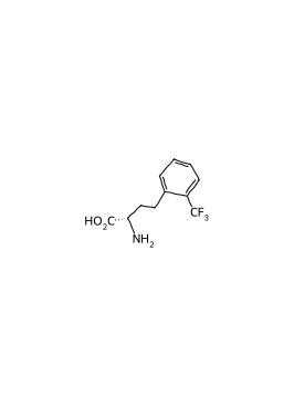 N[C@@H](CCc1ccccc1C(F)(F)F)C(=O)O